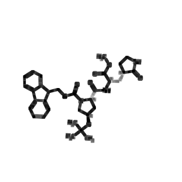 COC(=O)[C@H](C[C@@H]1CCNC1=O)NC(=O)[C@@H]1C[C@@H](OC(C)(C)C)CN1C(=O)OCC1c2ccccc2-c2ccccc21